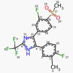 Cc1cc(-c2[nH]c(C(F)(F)F)nc2-c2ccc(S(C)(=O)=O)c(F)c2)ccc1F